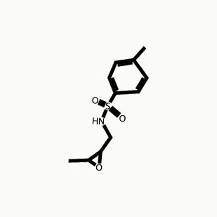 Cc1ccc(S(=O)(=O)NCC2OC2C)cc1